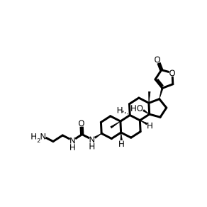 C[C@]12CC[C@H](NC(=O)NCCN)C[C@H]1CC[C@@H]1[C@@H]2CC[C@]2(C)[C@@H](C3=CC(=O)OC3)CC[C@]12O